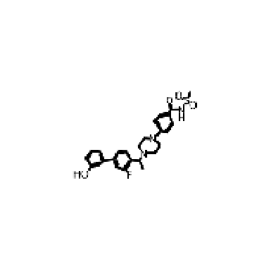 CC(c1ccc(-c2cccc(O)c2)cc1F)N1CCN(c2ccc(C(=O)NS(C)(=O)=O)cc2)CC1